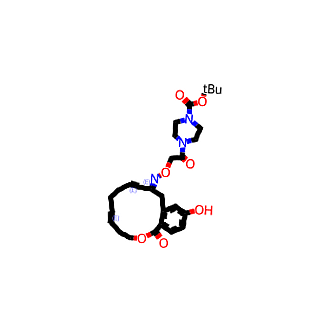 CC(C)(C)OC(=O)N1CCN(C(=O)CO/N=C2/C=C/CC/C=C/CCOC(=O)c3ccc(O)cc3C2)CC1